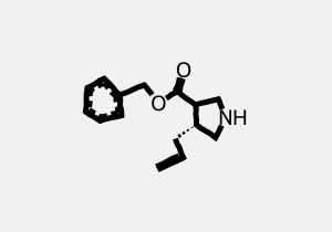 C=CC[C@H]1CNCC1C(=O)OCc1ccccc1